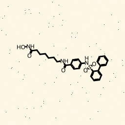 O=C(CCCCCCNC(=O)c1ccc(NS(=O)(=O)c2ccccc2-c2ccccc2)cc1)NO